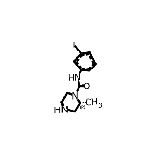 C[C@@H]1CNCCN1C(=O)Nc1cccc(I)c1